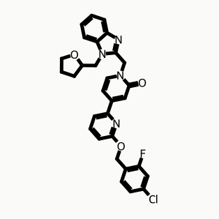 O=c1cc(-c2cccc(OCc3ccc(Cl)cc3F)n2)ccn1Cc1nc2ccccc2n1CC1CCCO1